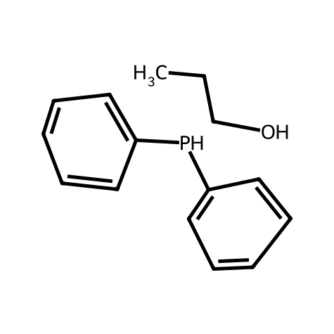 CCCO.c1ccc(Pc2ccccc2)cc1